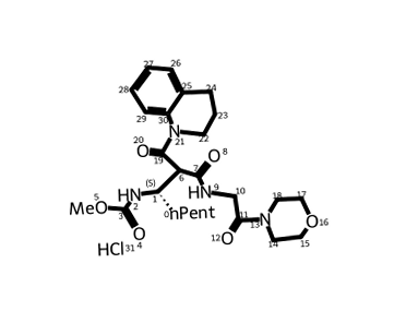 CCCCC[C@H](NC(=O)OC)C(C(=O)NCC(=O)N1CCOCC1)C(=O)N1CCCc2ccccc21.Cl